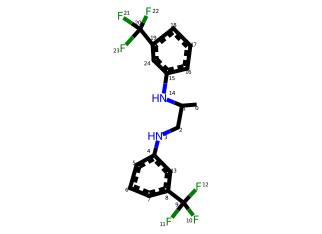 CC(CNc1cccc(C(F)(F)F)c1)Nc1cccc(C(F)(F)F)c1